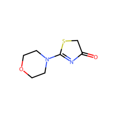 O=C1CSC(N2CCOCC2)=N1